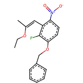 CCOC(C)=Cc1c([N+](=O)[O-])ccc(OCc2ccccc2)c1F